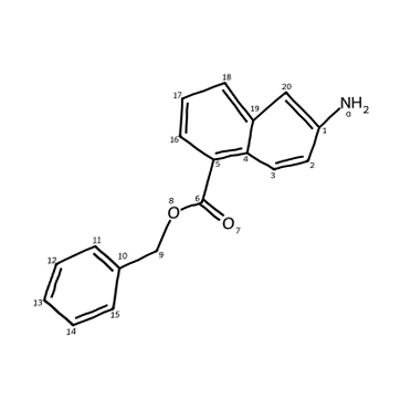 Nc1ccc2c(C(=O)OCc3ccccc3)cccc2c1